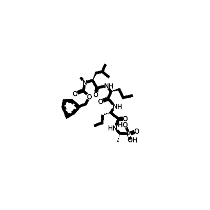 CCC[C@H](NC(=O)[C@H](CCC)NC(=O)[C@H](CC(C)C)N(C)C(=O)OCc1ccccc1)C(=O)N[C@@H](C)P(=O)(O)O